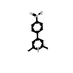 Cc1cc(-c2ccc([N+](=O)[O-])cc2)cc(C)n1